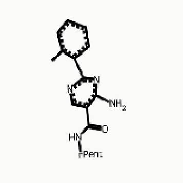 CCCCCNC(=O)c1cnc(-c2ccccc2C)nc1N